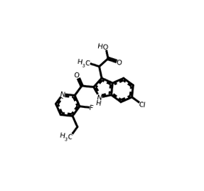 CCc1ccnc(C(=O)c2[nH]c3cc(Cl)ccc3c2C(C)C(=O)O)c1F